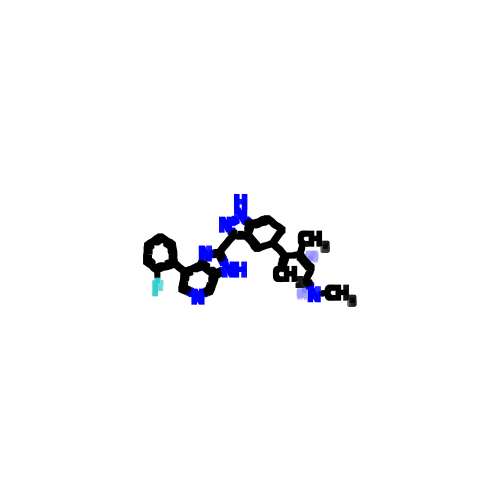 C=C(/C(C)=C\C=N/C)C1C=c2c(-c3nc4c(-c5ccccc5F)cncc4[nH]3)n[nH]c2=CC1